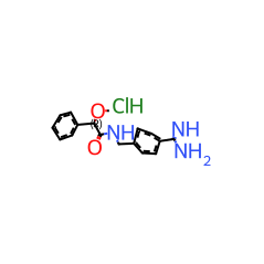 CO[C@@H](C(=O)NCc1ccc(C(=N)N)cc1)c1ccccc1.Cl